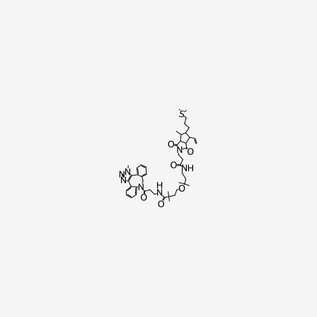 C=CC1C(CCCS(C)(C)C)C(C)C2C(=O)N(CCC(=O)NCCC(C)(C)OCCC(C)(C)C(=O)NCCC(=O)N3Cc4ccccc4-c4c(nnn4C)-c4ccccc43)C(=O)C12